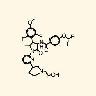 COc1cc(F)c([C@H]2[C@H](NC(=O)c3ccc(OC(F)F)cc3)C(=O)N(c3cccc(C4CCCN(CCO)C4)n3)[C@H]2C)c(F)c1